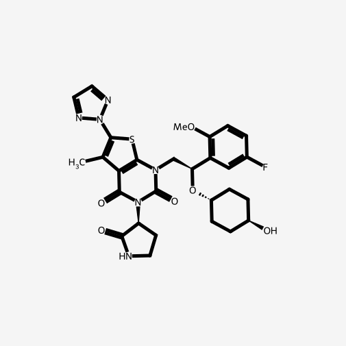 COc1ccc(F)cc1[C@H](Cn1c(=O)n([C@H]2CCNC2=O)c(=O)c2c(C)c(-n3nccn3)sc21)O[C@H]1CC[C@H](O)CC1